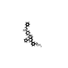 COc1cccc(C2=Cc3cnc(N4CCC(NCCc5ccccc5)CC4)nc3N(C3CCCC3)C2)c1